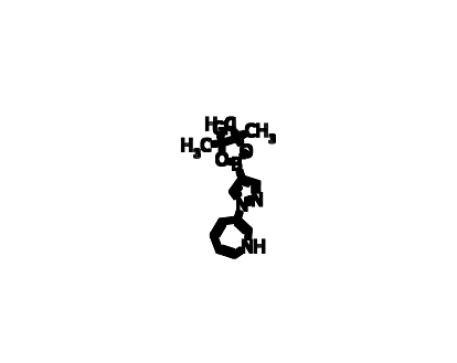 CC1(C)OB(c2cnn(C3=CNC=CC=C3)c2)OC1(C)C